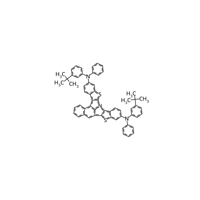 CC(C)(C)c1cccc(N(c2ccccc2)c2ccc3c(c2)sc2c3c3c4ccccc4cc4c5sc6cc(N(c7ccccc7)c7cccc(C(C)(C)C)c7)ccc6c5n2c43)c1